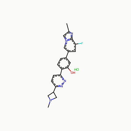 Cc1cn2cc(-c3ccc(-c4ccc(C5CN(C)C5)nn4)c(O)c3)cc(F)c2n1.Cl